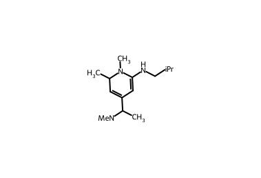 CNC(C)C1=CC(C)N(C)C(NCC(C)C)=C1